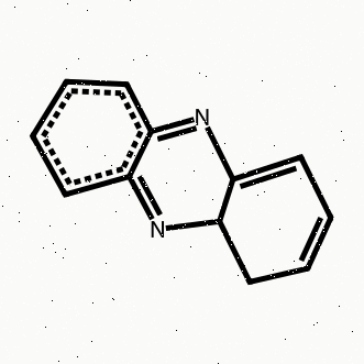 C1=CCC2N=c3ccccc3=NC2=C1